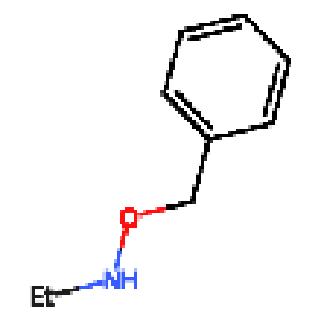 CCNOCc1ccccc1